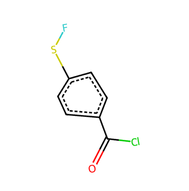 O=C(Cl)c1ccc(SF)cc1